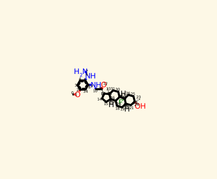 COc1ccc(NN)c(NCC(=O)[C@H]2CC[C@H]3C4CC[C@@H]5C[C@](C)(O)CC[C@]5(F)[C@H]4CC[C@]23C)c1